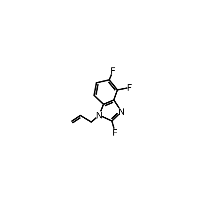 C=CCn1c(F)nc2c(F)c(F)ccc21